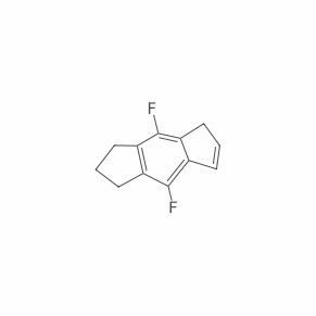 Fc1c2c(c(F)c3c1CCC3)CC=C2